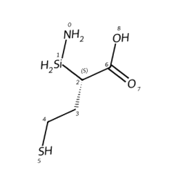 N[SiH2][C@@H](CCS)C(=O)O